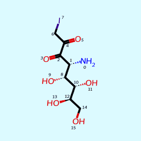 N[C@@H](C(=O)C(=O)CI)[C@@H](O)[C@H](O)[C@H](O)CO